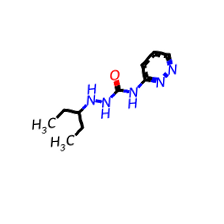 CCC(CC)NNC(=O)Nc1cccnn1